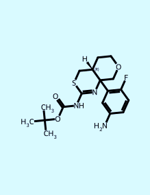 CC(C)(C)OC(=O)NC1=NC2(c3cc(N)ccc3F)COCC[C@H]2CS1